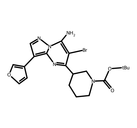 CC(C)(C)OC(=O)N1CCCC(c2nc3c(-c4ccoc4)cnn3c(N)c2Br)C1